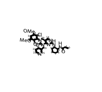 C=CC(=O)NC1CCCCC1Nc1ncc2c(n1)N(Cc1cccnc1)C(=O)N(c1c(Cl)c(OC)cc(OC)c1Cl)C2